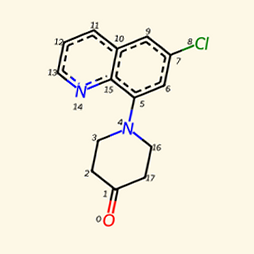 O=C1CCN(c2cc(Cl)cc3cccnc23)CC1